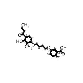 CCCC(=O)c1ccc(OCCCCOc2ccc(F)c(C(=O)O)c2)c(C)c1O